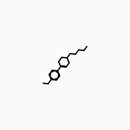 CCCCCC1CC=C(c2ccc(CC)cc2)CC1